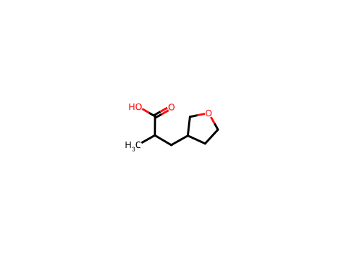 CC(CC1CCOC1)C(=O)O